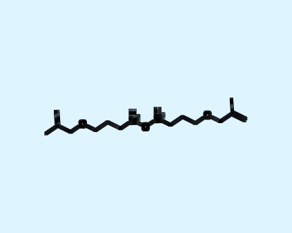 C=C(C)COCCC[SiH2]O[SiH2]CCCOCC(=C)C